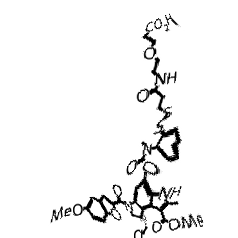 COC(=O)c1c(C)[nH]c2c(OC(=O)N(C)c3ccccc3SSCCC(=O)NCCOCCC(=O)O)cc3c(c12)[C@H](CCl)CN3C(=O)c1cc2cc(OC)ccc2o1